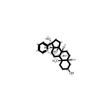 C[C@]12CC[C@H](O)C[C@H]1CC[C@@H]1[C@@H]2CC[C@]2(C)[C@@](O)(c3ccccn3)CC[C@]12O